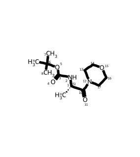 C[C@H](NC(=O)OC(C)(C)C)C(=O)N1CCOCC1